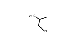 CC(C)CC(C)[C]=O